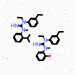 CCc1cccc(N(CC)C(=N)N(C)c2ccccc2C(C)C)c1.CCc1cccc(N(CC)C(=N)N(C)c2ccccc2I)c1